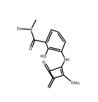 C=C1C(=O)C(Nc2cccc(C(=O)N(C)CC)c2O)=C1OC